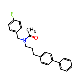 CC(=O)N(CCCc1ccc(-c2ccccc2)cc1)Cc1ccc(F)cc1